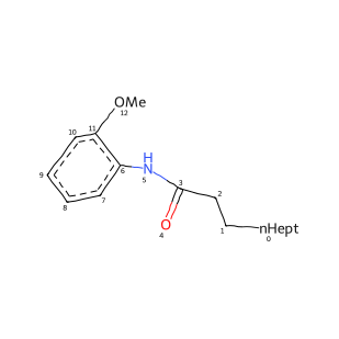 CCCCCCCCCC(=O)Nc1ccccc1OC